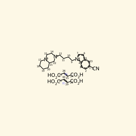 N#Cc1ccc2c(ccn2CCCCN2CCN3CCCCC3C2)c1.O=C(O)/C=C/C(=O)O.O=C(O)/C=C/C(=O)O